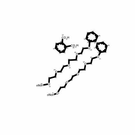 CCCCCCCCCOCCOCCOCCOCCOc1ccccc1.CCCCCCCCCOCCOCCOCCOCCOc1ccccc1.O=C(O)c1ccccc1C(=O)O